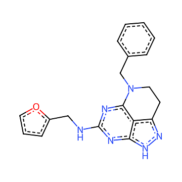 c1ccc(CN2CCc3n[nH]c4nc(NCc5ccco5)nc2c34)cc1